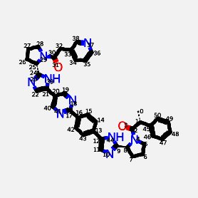 C[C@@H](C(=O)N1CCC[C@H]1c1ncc(-c2ccc(-c3ncc(-c4cnc([C@@H]5CCCN5C(=O)Cc5cccnc5)[nH]4)cn3)cc2)[nH]1)c1ccccc1